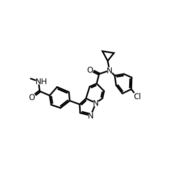 CNC(=O)c1ccc(-c2cnn3ccc(C(=O)N(c4ccc(Cl)cc4)C4CC4)cc23)cc1